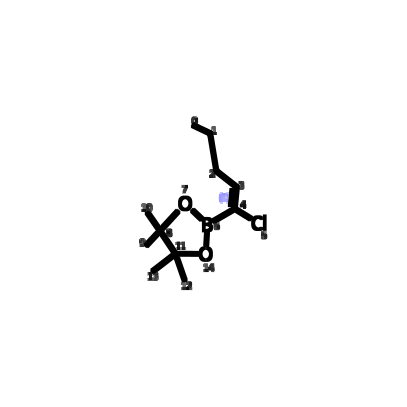 CCC/C=C(/Cl)B1OC(C)(C)C(C)(C)O1